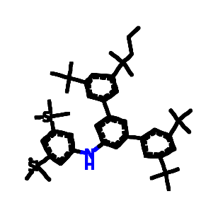 CCCC(C)(C)c1cc(-c2cc(Nc3cc([Si](C)(C)C)cc([Si](C)(C)C)c3)cc(-c3cc(C(C)(C)C)cc(C(C)(C)C)c3)c2)cc(C(C)(C)C)c1